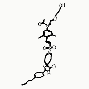 CCCCC1CCC(C2=NC3(CCN(S(=O)(=O)/C=C/c4c(C)cc(N(CCOCCO)C(C)=O)cc4C)CC3)C(=O)N2)CC1